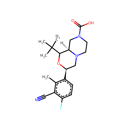 Cc1c([C@@H]2CN3CCN(C(=O)O)C[C@@H]3C(C(C)(C)C)O2)ccc(F)c1C#N